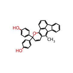 Cc1c2c(c3cccc4c3c1-c1ccccc1-4)OC(c1ccc(O)cc1)(c1ccc(O)cc1)C=C2